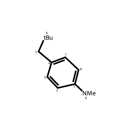 CNc1ccc(CC(C)(C)C)cc1